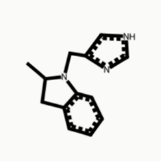 CC1Cc2ccccc2N1Cc1c[nH]cn1